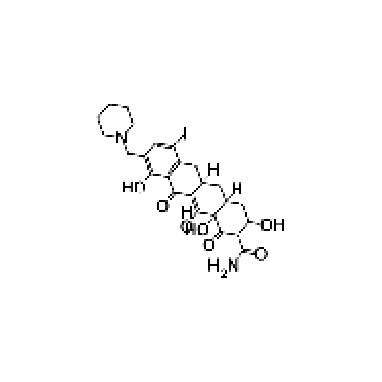 NC(=O)C1C(=O)[C@@]2(O)C(O)=C3C(=O)c4c(O)c(CN5CCCCC5)cc(I)c4C[C@H]3C[C@H]2CC1O